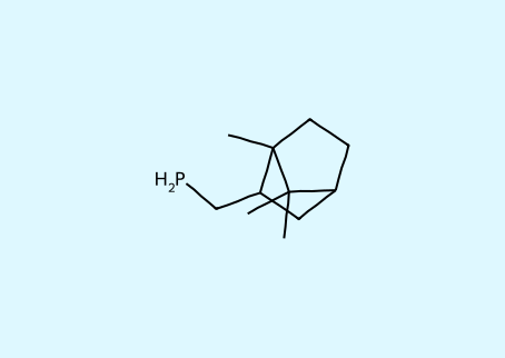 CC1(C)C2CCC1(C)C(CP)C2